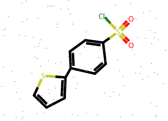 O=S(=O)(Cl)c1ccc(-c2cccs2)cc1